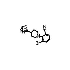 N#Cc1cccc(Br)c1N1CCC(c2nncs2)CC1